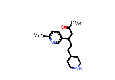 COC(=O)CC(CCC1CCNCC1)c1ccc(OC)nc1